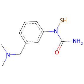 CN(C)Cc1cccc(N(S)C(N)=O)c1